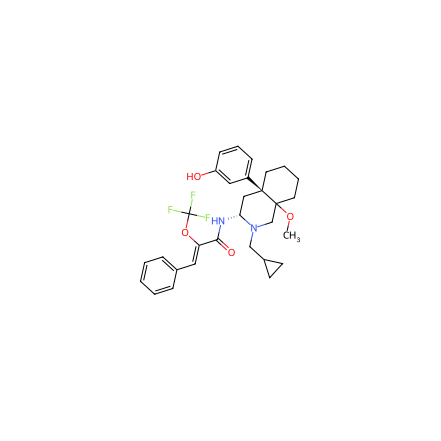 COC12CCCC[C@@]1(c1cccc(O)c1)C[C@@H](NC(=O)C(=Cc1ccccc1)OC(F)(F)F)N(CC1CC1)C2